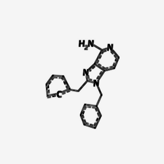 Nc1nccc2c1nc(Cc1ccccc1)n2Cc1ccccc1